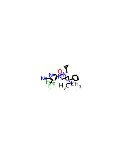 CN(C)C1(c2ccccc2)CC2(CN(c3cnc(C#N)c(C(F)(F)F)c3)C(=O)N2CC2CC2)C1